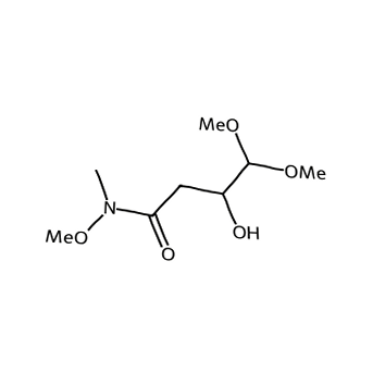 COC(OC)C(O)CC(=O)N(C)OC